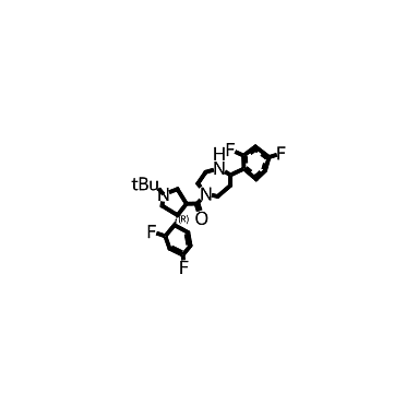 CC(C)(C)N1CC(C(=O)N2CCNC(c3ccc(F)cc3F)CC2)[C@H](C2C=CC(F)=CC2F)C1